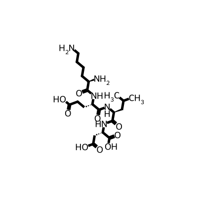 CC(C)C[C@H](NC(=O)[C@H](CCC(=O)O)NC(=O)[C@H](N)CCCCN)C(=O)N[C@@H](CC(=O)O)C(=O)O